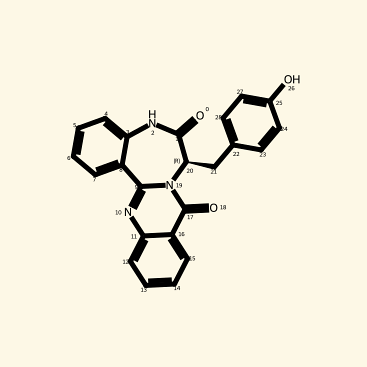 O=C1Nc2ccccc2-c2nc3ccccc3c(=O)n2[C@@H]1Cc1ccc(O)cc1